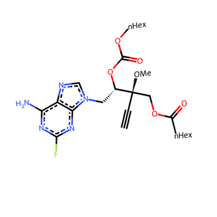 C#C[C@](COC(=O)CCCCCC)(OC)[C@H](Cn1cnc2c(N)nc(F)nc21)OC(=O)OCCCCCC